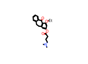 CCOc1cc(OC(=O)CCCN(C)C)cc2c1C(=O)c1ccccc1CC2